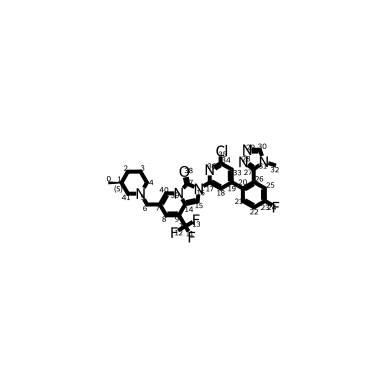 C[C@H]1CCCN(Cc2cc(C(F)(F)F)c3cn(-c4cc(-c5ccc(F)cc5-c5nncn5C)cc(Cl)n4)c(=O)n3c2)C1